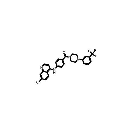 O=C(c1ccc(Nc2ccnc3cc(Cl)ccc23)cc1)N1CCN(c2cccc(C(F)(F)F)c2)CC1